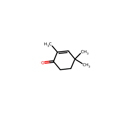 CC1=[C]C(C)(C)CCC1=O